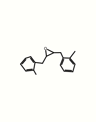 Cc1ccccc1CC1OC1Cc1ccccc1C